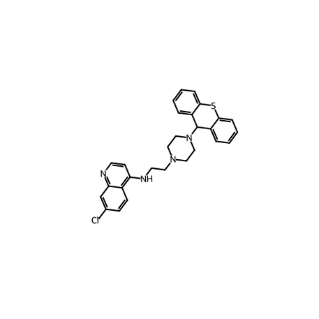 Clc1ccc2c(NCCN3CCN(C4c5ccccc5Sc5ccccc54)CC3)ccnc2c1